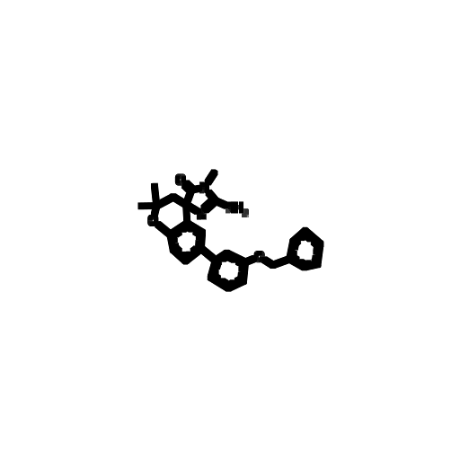 CN1C(=O)C2(CC(C)(C)Oc3ccc(-c4cccc(OCc5ccccc5)c4)cc32)N=C1N